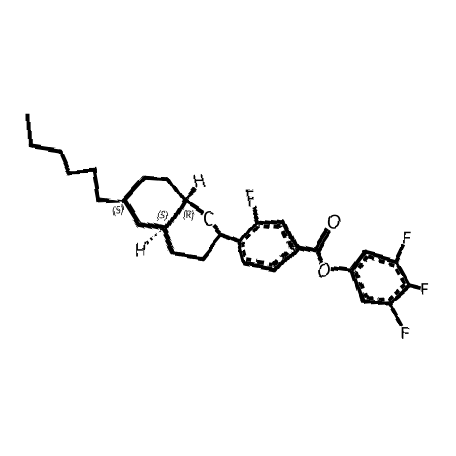 CCCCCC[C@H]1CC[C@@H]2CC(c3ccc(C(=O)Oc4cc(F)c(F)c(F)c4)cc3F)CC[C@H]2C1